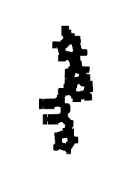 N=C(CN1CCCC1)OC(=N)Sc1ncnc2cc(-c3ccc(F)cc3)sc12